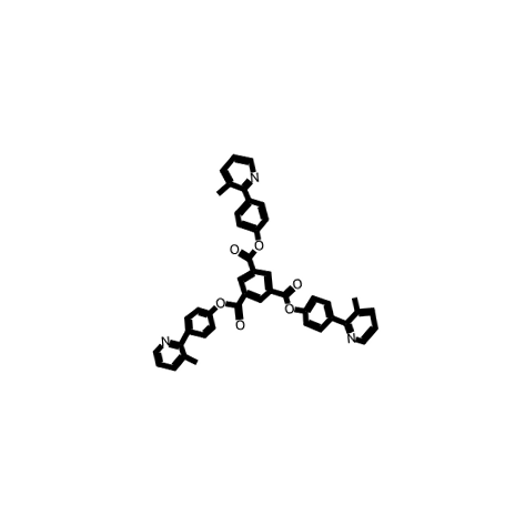 Cc1cccnc1-c1ccc(OC(=O)c2cc(C(=O)Oc3ccc(-c4ncccc4C)cc3)cc(C(=O)Oc3ccc(-c4ncccc4C)cc3)c2)cc1